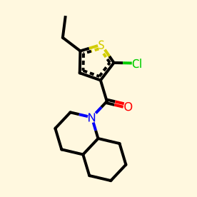 CCc1cc(C(=O)N2CCCC3CCCCC32)c(Cl)s1